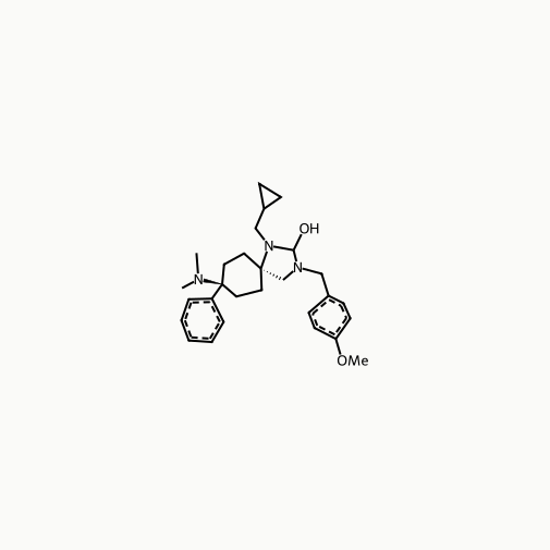 COc1ccc(CN2C[C@]3(CC[C@](c4ccccc4)(N(C)C)CC3)N(CC3CC3)C2O)cc1